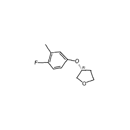 Cc1cc(O[C@@H]2CCOC2)ccc1F